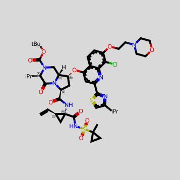 C=C[C@@H]1C[C@]1(NC(=O)[C@@H]1C[C@@H](Oc2cc(-c3nc(C(C)C)cs3)nc3c(Cl)c(OCCN4CCOCC4)ccc23)[C@H]2CN(C(=O)OC(C)(C)C)[C@H](C(C)C)C(=O)N21)C(=O)NS(=O)(=O)C1(C)CC1